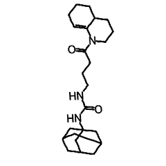 O=C(NCCCC(=O)N1CCCC2CCCC=C21)NC12CC3CC(CC(C3)C1)C2